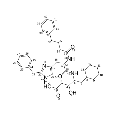 O=C(O)CC(O)C(CC1CCCCC1)NC(=O)[C@H](Cc1c[nH]c(Cc2ccccc2)n1)NC(=O)CCCc1ccccc1